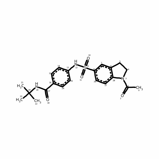 CC(=O)N1CCc2cc(S(=O)(=O)Nc3ccc(C(=O)NC(C)(C)C)cc3)ccc21